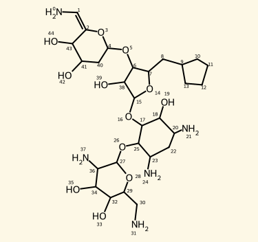 N/C=C1/OC(OC2C(CC3CCCC3)OC(OC3C(O)C(N)CC(N)C3OC3OC(CN)C(O)C(O)C3N)C2O)CC(O)C1O